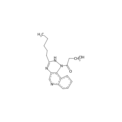 CCCCCC1=Nc2cnc3ccccc3c2N(C(=O)CC)N1.Cl